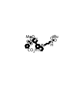 COc1ncc(-c2ccc3nccc(NCCCCNC(=O)OC(C)(C)C)c3c2)cc1NS(=O)(=O)c1cccc(C(=O)O)c1